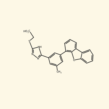 Cc1cc(-c2nnc(SCC(=O)O)[nH]2)cc(-c2cccc3c2oc2ccccc23)c1